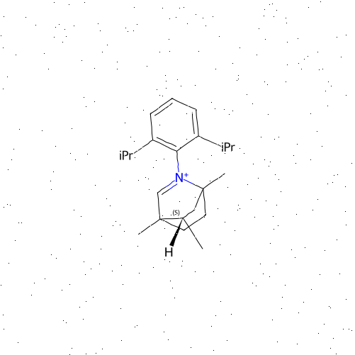 CC(C)c1cccc(C(C)C)c1[N+]1=CC2(C)CCC1(C)C[C@@H]2C